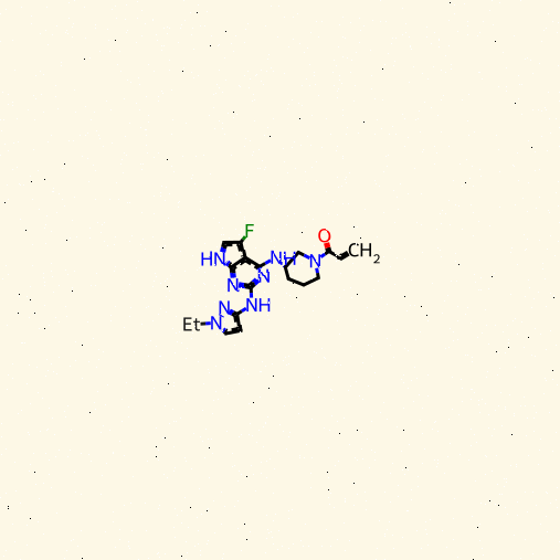 C=CC(=O)N1CCC[C@@H](Nc2nc(Nc3ccn(CC)n3)nc3[nH]cc(F)c23)C1